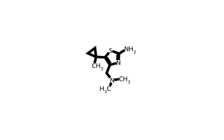 CN(C)Cc1nc(N)sc1C1(C)CC1